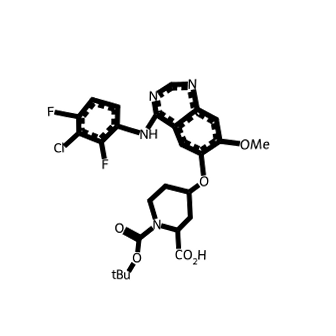 COc1cc2ncnc(Nc3ccc(F)c(Cl)c3F)c2cc1OC1CCN(C(=O)OC(C)(C)C)C(C(=O)O)C1